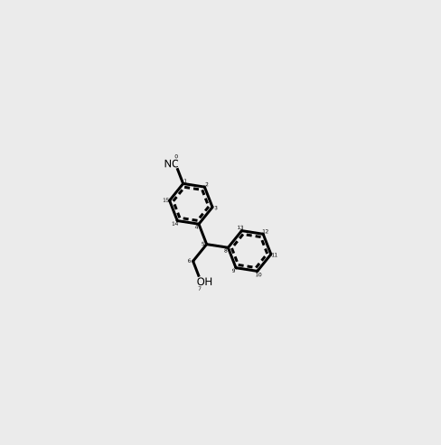 N#Cc1ccc(C(CO)c2ccccc2)cc1